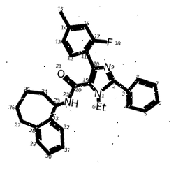 CCn1c(-c2ccccc2)nc(-c2ccc(C)cc2F)c1C(=O)NC1CCCCc2ccccc21